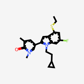 CCSc1cc(F)cc2c1cc(-c1cc(C)c(=O)n(C)c1)n2CCC1CC1